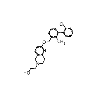 Cc1c(COc2ccc3c(n2)CCN(CCO)C3)cccc1-c1ccccc1Cl